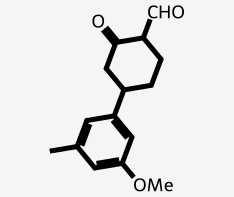 COc1cc(C)cc(C2CCC(C=O)C(=O)C2)c1